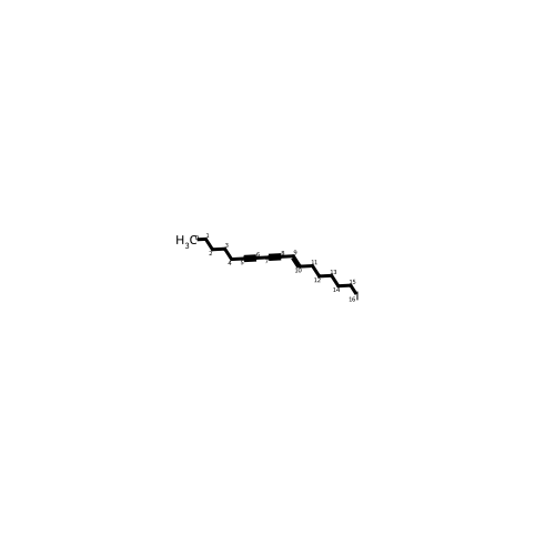 CCCCCC#CC#CC=CCCCCCI